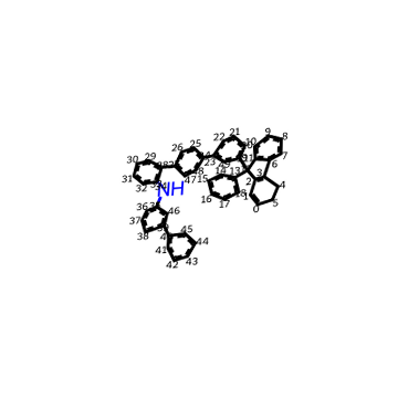 C1=CC2=C(CC1)c1ccccc1C2(c1ccccc1)c1cccc(-c2ccc(-c3ccccc3Nc3cccc(-c4ccccc4)c3)cc2)c1